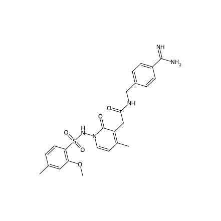 COc1cc(C)ccc1S(=O)(=O)Nn1ccc(C)c(CC(=O)NCc2ccc(C(=N)N)cc2)c1=O